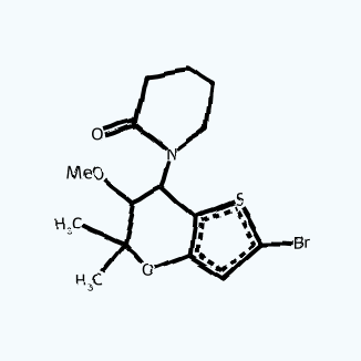 COC1C(N2CCCCC2=O)c2sc(Br)cc2OC1(C)C